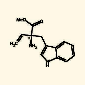 C=C[C@](N)(Cc1c[nH]c2ccccc12)C(=O)OC